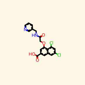 O=C(COc1cc(C(=O)O)cc2cc(Cl)cc(Cl)c12)NCc1cccnc1